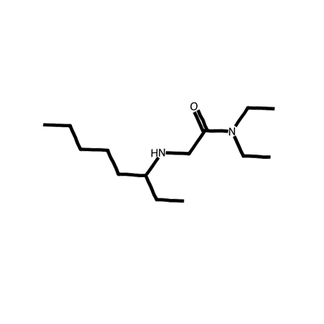 CCCCCC(CC)NCC(=O)N(CC)CC